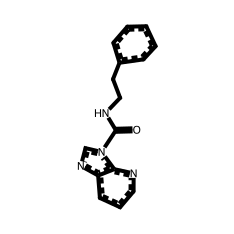 O=C(NCCc1ccccc1)n1cnc2cccnc21